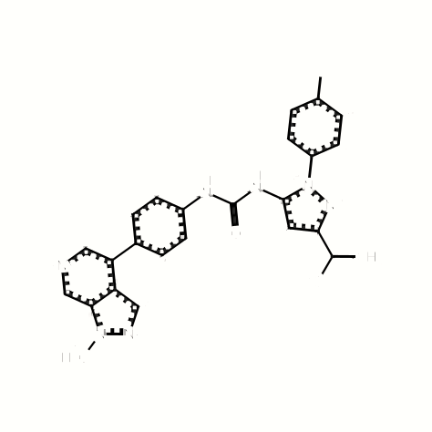 CC(C)c1cc(NC(=O)Nc2ccc(-c3cncc4c3cnn4C)cc2)n(-c2ccc(F)cc2)n1